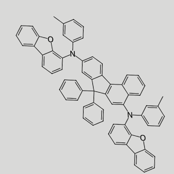 Cc1cccc(N(c2ccc3c(c2)C(c2ccccc2)(c2ccccc2)c2cc(N(c4cccc(C)c4)c4cccc5c4oc4ccccc45)c4ccccc4c2-3)c2cccc3c2oc2ccccc23)c1